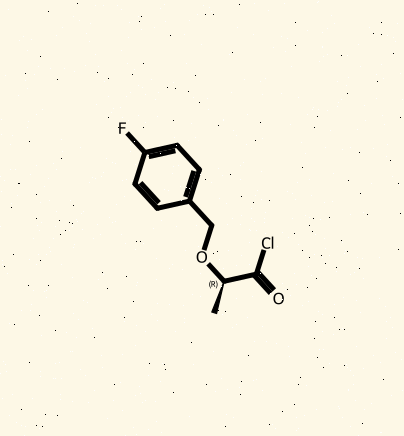 C[C@@H](OCc1ccc(F)cc1)C(=O)Cl